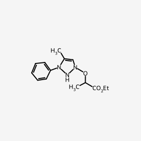 CCOC(=O)C(C)ON1C=C(C)N(c2ccccc2)N1